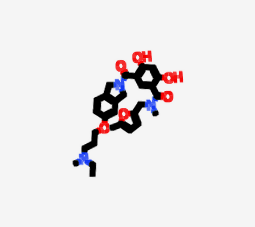 CCN(C)CCCOc1ccc2c(c1)CN(C(=O)c1cc(C(=O)N(C)Cc3ccc(C)o3)c(O)cc1O)C2